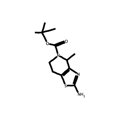 CC1c2nc(N)sc2CCN1C(=O)OC(C)(C)C